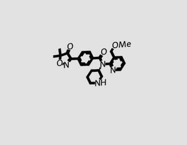 COCc1cccnc1N(C(=O)c1ccc(C2=NOC(C)(C)C2=O)cc1)[C@@H]1CCCNC1